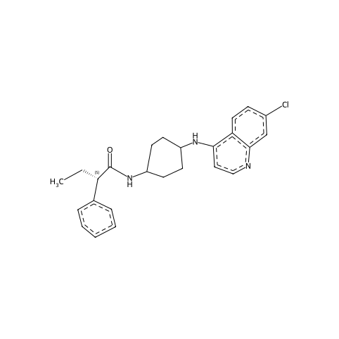 CC[C@H](C(=O)NC1CCC(Nc2ccnc3cc(Cl)ccc23)CC1)c1ccccc1